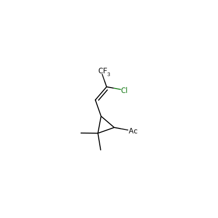 CC(=O)C1C(C=C(Cl)C(F)(F)F)C1(C)C